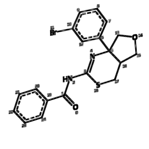 O=C(NC1=NC2(c3cccc(Br)c3)COCC2CS1)c1ccccc1